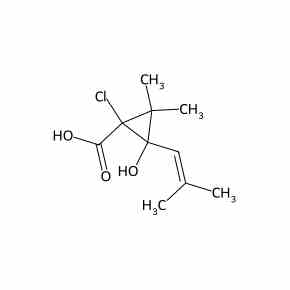 CC(C)=CC1(O)C(C)(C)C1(Cl)C(=O)O